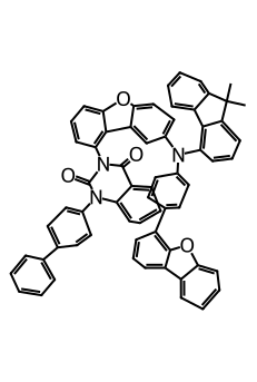 CC1(C)c2ccccc2-c2c(N(c3ccc(-c4cccc5c4oc4ccccc45)cc3)c3ccc4oc5cccc(-n6c(=O)c7ccccc7n(-c7ccc(-c8ccccc8)cc7)c6=O)c5c4c3)cccc21